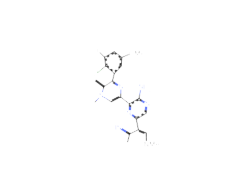 C=C1C(c2cc(OC)cc(CC)c2Cl)=NC(c2nc(/C(=C/NC)C(C)=N)cnc2N)=CN1C